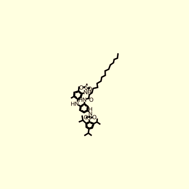 CCCCCCCCCCCCCCCC(=O)Nc1cc(NS(=O)(=O)c2c(C(C)C)cc(C(C)C)cc2C(C)C)ccc1Nc1cc(NS(C)(=O)=O)c(C)cc1C